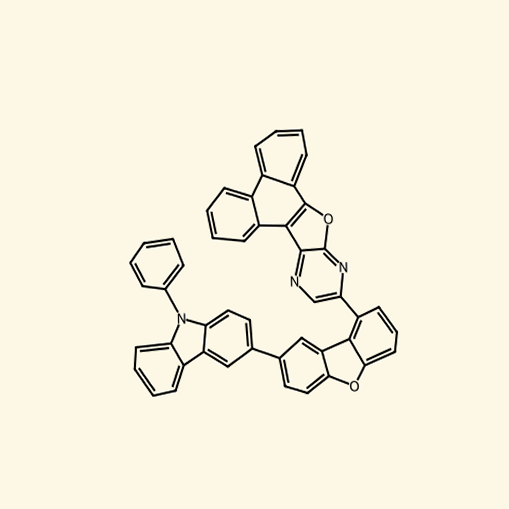 c1ccc(-n2c3ccccc3c3cc(-c4ccc5oc6cccc(-c7cnc8c(n7)oc7c9ccccc9c9ccccc9c87)c6c5c4)ccc32)cc1